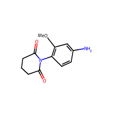 COc1cc(N)ccc1N1C(=O)CCCC1=O